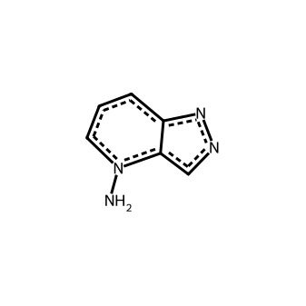 Nn1cccc2nncc1-2